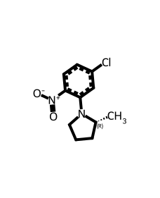 C[C@@H]1CCCN1c1cc(Cl)ccc1[N+](=O)[O-]